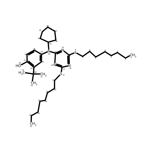 CCCCCCCCSc1nc(SCCCCCCCC)nc(N(c2ccc(O)c(C(C)(C)C)c2)C2CCCCC2)n1